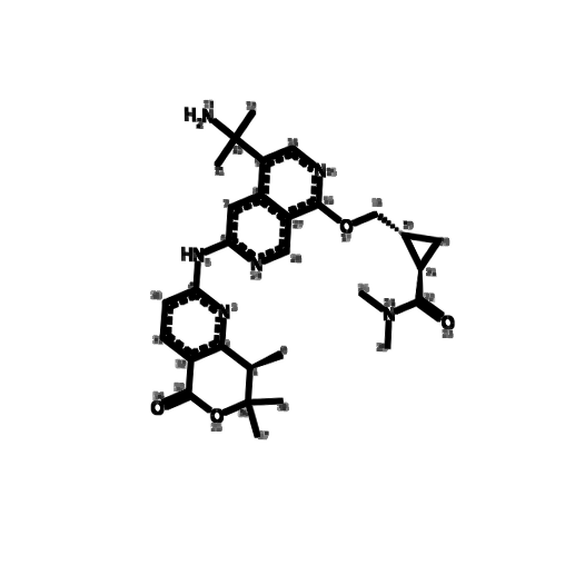 C[C@@H]1c2nc(Nc3cc4c(C(C)(C)N)cnc(OC[C@@H]5C[C@H]5C(=O)N(C)C)c4cn3)ccc2C(=O)OC1(C)C